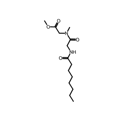 CCCCCCCC(=O)NCC(=O)N(C)CC(=O)OC